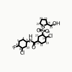 O=C(NC1CCC(F)C(Cl)C1)C1CCC(Cl)C(S(=O)(=O)N2CCCC2CO)C1